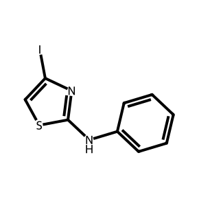 Ic1csc(Nc2ccccc2)n1